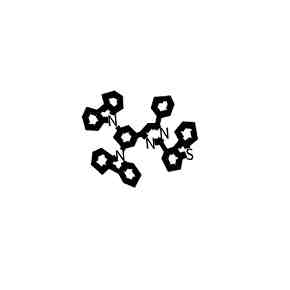 c1ccc(-c2cc(-c3cc(-n4c5ccccc5c5ccccc54)cc(-n4c5ccccc5c5ccccc54)c3)nc(-c3cccc4sc5ccccc5c34)n2)cc1